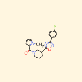 Cn1cccc1C(=O)N1CCCC(c2nc(-c3ccc(F)cc3)no2)C1